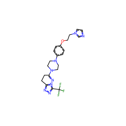 FC(F)(F)c1nnc2n1N=C(N1CCN(c3ccc(OCCn4ccnc4)cc3)CC1)CC2